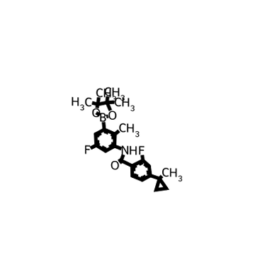 Cc1c(NC(=O)c2ccc(C3(C)CC3)cc2F)cc(F)cc1B1OC(C)(C)C(C)(C)O1